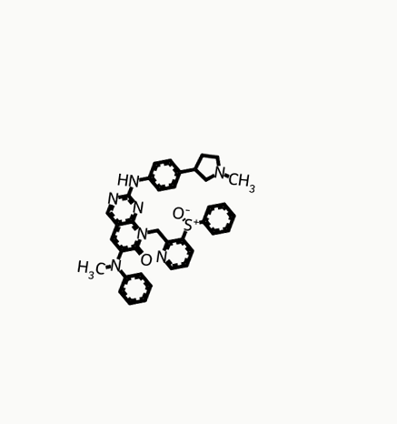 CN1CCC(c2ccc(Nc3ncc4cc(N(C)c5ccccc5)c(=O)n(Cc5ncccc5[S+]([O-])c5ccccc5)c4n3)cc2)C1